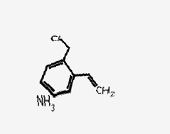 C=Cc1ccccc1CCl.N